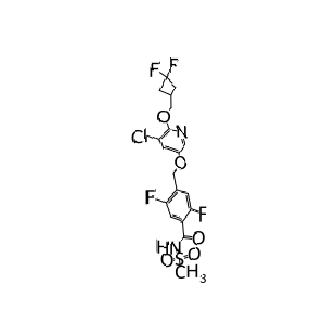 CS(=O)(=O)NC(=O)c1cc(F)c(COc2cnc(OCC3CC(F)(F)C3)c(Cl)c2)cc1F